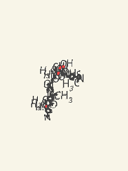 CCc1cc2c(cc1N1CCN(C(=O)CCC(=O)N[C@H](C(=O)N3C[C@H](O)CC3C(=O)NCc3ccc(-c4scnc4C)cc3)C(C)(C)C)CC1)C(C)(C)c1[nH]c3cc(C#N)ccc3c1C2=O